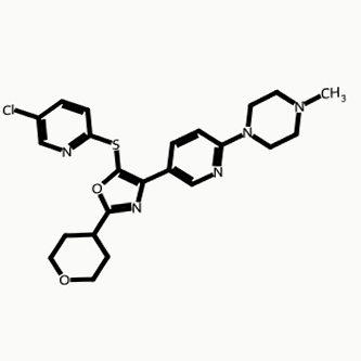 CN1CCN(c2ccc(-c3nc(C4CCOCC4)oc3Sc3ccc(Cl)cn3)cn2)CC1